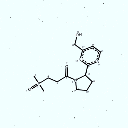 CP(C)(=O)CCC(=O)N1CCCC1c1nccc(CO)n1